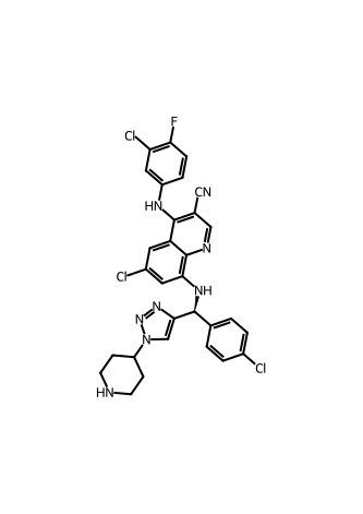 N#Cc1cnc2c(N[C@@H](c3ccc(Cl)cc3)c3cn(C4CCNCC4)nn3)cc(Cl)cc2c1Nc1ccc(F)c(Cl)c1